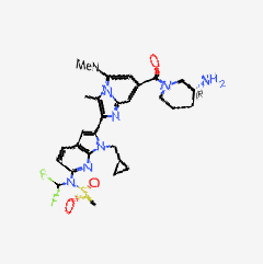 CNc1cc(C(=O)N2CCC[C@@H](N)C2)cc2nc(-c3cc4ccc(N(C(F)F)S(C)(=O)=O)nc4n3CC3CC3)c(C)n12